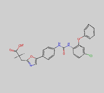 CC(C)(Cc1ncc(-c2ccc(NC(=O)Nc3ccc(Cl)cc3Oc3ccccc3)cc2)o1)C(=O)O